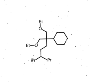 CCOCC(CCC(C(C)C)C(C)C)(COCC)C1CCCCC1